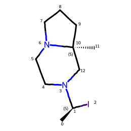 C[C@H](I)N1CCN2CCC[C@@]2(C)C1